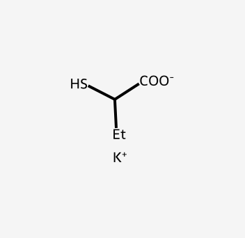 CCC(S)C(=O)[O-].[K+]